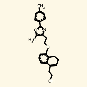 Cc1ccc(-c2nc(CCOc3cccc4c3CCC=C4CCO)c(C)o2)cc1